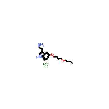 CCCCOCCCCOc1ccc2[nH]cc(CCN)c2c1.Cl